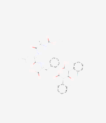 COC(=O)N[C@H](C)C(=O)N[C@@H](CC(C)C)C(=O)N[C@@H](Cc1ccccc1)C(=O)O.O=C(O)C(C(=O)C(C(=O)O)c1c(F)cccc1F)c1c(F)cccc1F